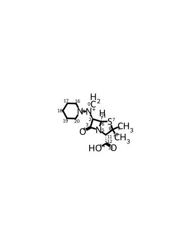 C=[N+]([C@@H]1C(=O)N2[C@@H]1SC(C)(C)[C@@H]2C(=O)O)N1CCCCC1